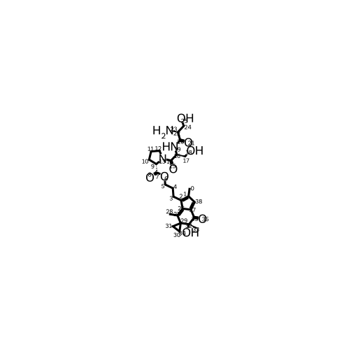 CC1=C(CCCOC(=O)[C@@H]2CCCN2C(=O)[C@H](CO)NC(=O)[C@@H](N)CO)C2=C(C)C3(CC3)[C@@](C)(O)C(=O)C2=C1